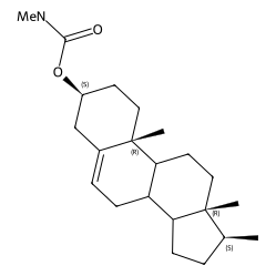 CNC(=O)O[C@H]1CC[C@@]2(C)C(=CCC3C2CC[C@@]2(C)C3CC[C@@H]2C)C1